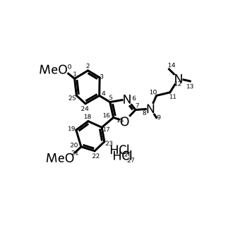 COc1ccc(-c2nc(N(C)CCN(C)C)oc2-c2ccc(OC)cc2)cc1.Cl.Cl